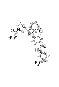 CC(C)(C)OC(=O)N1CCOC(c2nn(-c3ccc(C(=O)Nc4cc(C(F)(F)F)ccn4)cc3)c3c(Cl)nccc23)C1